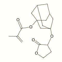 C=C(C)C(=O)OC12CC3CC(C1)CC(OC1CCOC1=O)(C3)C2